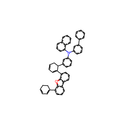 C1=CCCC(c2cccc3c2oc2c(C4=CC=CCC4c4cccc(N(c5cccc(-c6ccccc6)c5)c5cccc6ccccc56)c4)cccc23)=C1